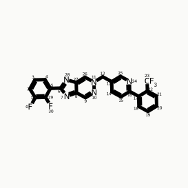 Fc1cccc(-c2nc3cnn(Cc4ccc(-c5ccccc5C(F)(F)F)nc4)cc-3n2)c1F